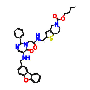 CCCCOC(=O)N1CCc2sc(CNC(=O)Cn3c(-c4ccccc4)ncc(NCc4ccc5oc6ccccc6c5c4)c3=O)cc2C1